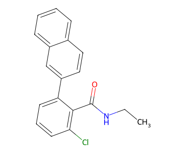 CCNC(=O)c1c(Cl)cccc1-c1ccc2ccccc2c1